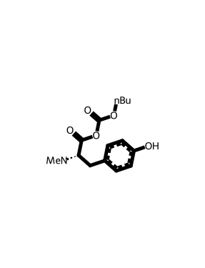 CCCCOC(=O)OC(=O)[C@H](Cc1ccc(O)cc1)NC